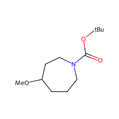 COC1CCCN(C(=O)OC(C)(C)C)CC1